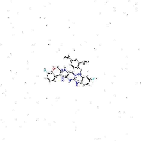 COc1ccc(CNc2cc(F)ccc2Nc2ncc(N)c(NC3CCOc4c(F)cccc43)n2)c(OC)c1